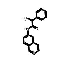 NC(C(=S)Nc1ccc2cnccc2c1)c1ccccc1